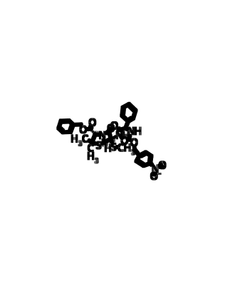 CS[C@@]1(NC(=O)C(NC(=O)OCc2ccc([N+](=O)[O-])cc2)c2ccccc2)C(=O)N2[C@@H](C(=O)OCc3ccccc3)C(C)(C)S[C@@H]21